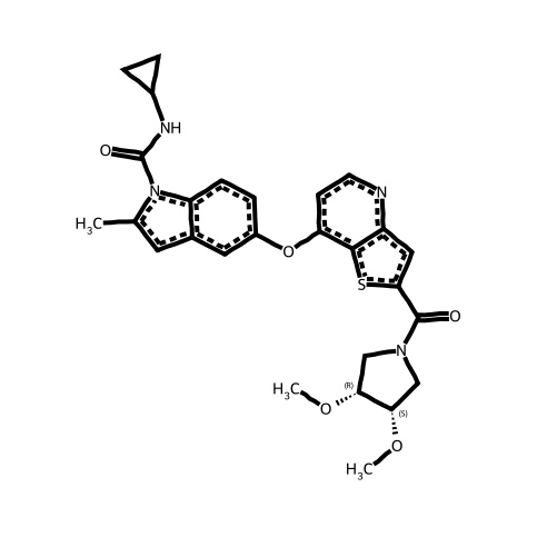 CO[C@H]1CN(C(=O)c2cc3nccc(Oc4ccc5c(c4)cc(C)n5C(=O)NC4CC4)c3s2)C[C@H]1OC